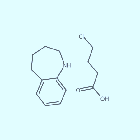 O=C(O)CCCCl.c1ccc2c(c1)CCCCN2